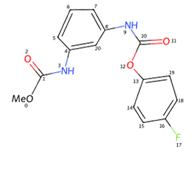 COC(=O)Nc1cccc(NC(=O)Oc2ccc(F)cc2)c1